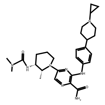 C[C@@H]1[C@H](NC(=O)N(C)C)CCCN1c1cnc(C(N)=O)c(Nc2ccc(C3CCN(C4CC4)CC3)cc2)n1